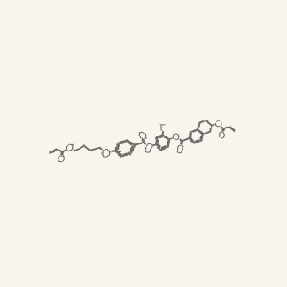 C=CC(=O)OCCCCOc1ccc(C(=O)Oc2ccc(OC(=O)c3ccc4c(c3)CCC(OC(=O)C=C)C4)c(F)c2)cc1